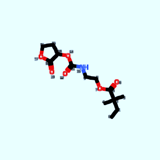 CCC(C)(C)C(=O)OCCNC(=O)OC1CCOC1=O